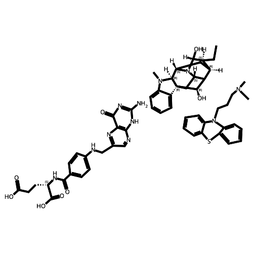 CC[C@H]1[C@@H]2C[C@H]3[C@@H]4N(C)c5ccccc5[C@]45C[C@@H](C2[C@H]5O)N3[C@@H]1O.CN(C)CCCN1c2ccccc2Sc2ccccc21.Nc1nc(=O)c2nc(CNc3ccc(C(=O)N[C@@H](CCC(=O)O)C(=O)O)cc3)cnc2[nH]1